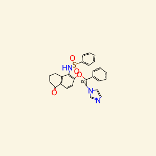 O=C1CCCc2c1ccc(O[C@H](Cn1ccnc1)c1ccccc1)c2NS(=O)(=O)c1ccccc1